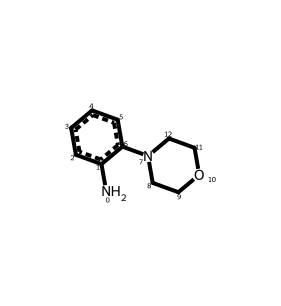 Nc1c[c]ccc1N1CCOCC1